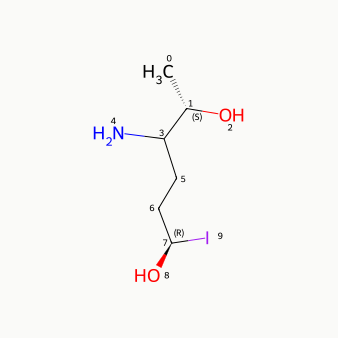 C[C@H](O)C(N)CC[C@H](O)I